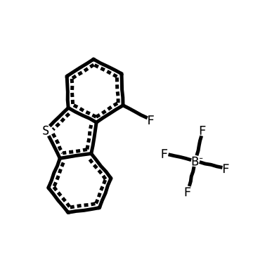 F[B-](F)(F)F.Fc1cccc2sc3ccccc3c12